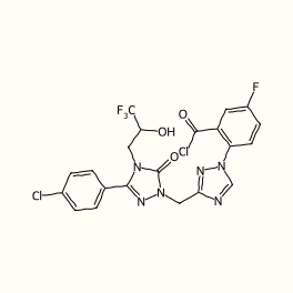 O=C(Cl)c1cc(F)ccc1-n1cnc(Cn2nc(-c3ccc(Cl)cc3)n(CC(O)C(F)(F)F)c2=O)n1